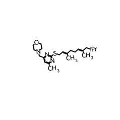 C/C(=C\CSc1nc(C)cc(CN2CCOCC2)n1)CC/C=C(\C)CC(C)C